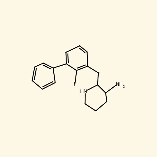 NC1CCCNC1Cc1cccc(-c2ccccc2)c1F